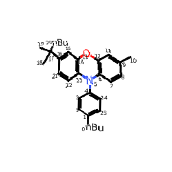 CCCCc1ccc(N2c3ccc(C)cc3Oc3cc(C(C)(C)CCCC)ccc32)cc1